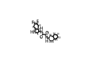 O=C(Nc1c[nH]c2cc(F)c(F)cc12)C(=O)NC1CCc2ccccc2C1